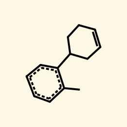 Cc1ccccc1C1CC=CCC1